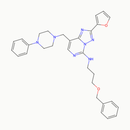 c1ccc(COCCCNc2ncc(CN3CCN(c4ccccc4)CC3)c3nc(-c4ccco4)nn23)cc1